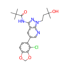 CC(C)(O)CCn1nc(NC(=O)C(C)(C)C)c2cc(-c3ccc4c(c3Cl)OCO4)cnc21